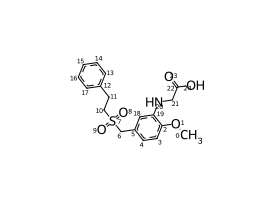 COc1ccc(CS(=O)(=O)CCc2ccccc2)cc1NCC(=O)O